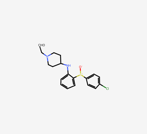 O=CCN1CCC(Nc2ccccc2[S+]([O-])c2ccc(Cl)cc2)CC1